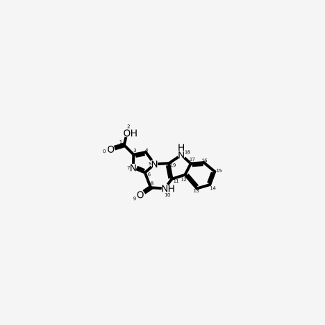 O=C(O)c1cn2c(n1)c(=O)[nH]c1c3ccccc3[nH]c12